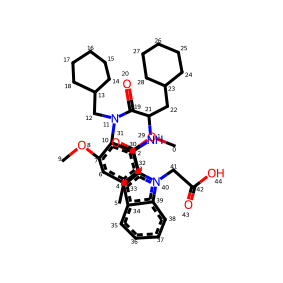 COc1cc(C)cc(OC)c1N(CC1CCCCC1)C(=O)C(CC1CCCCC1)NC(=O)c1cc2ccccc2n1CC(=O)O